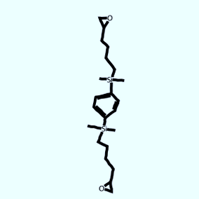 C[Si](C)(CCCCC1CO1)c1ccc([Si](C)(C)CCCCC2CO2)cc1